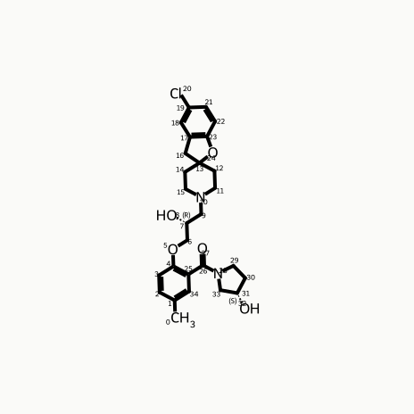 Cc1ccc(OC[C@H](O)CN2CCC3(CC2)Cc2cc(Cl)ccc2O3)c(C(=O)N2CC[C@H](O)C2)c1